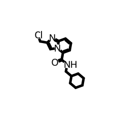 O=C(NCC1CCCCC1)c1cccc2nc(CCl)cn12